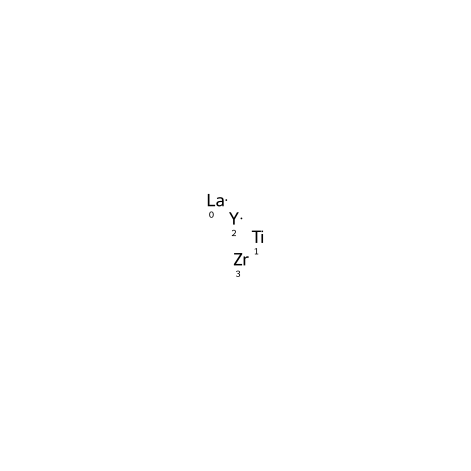 [La].[Ti].[Y].[Zr]